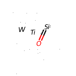 O=[Si].[Ti].[W]